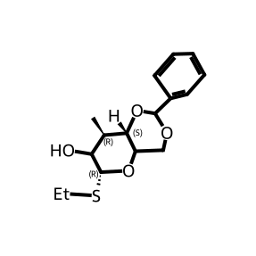 CCS[C@H]1OC2COC(c3ccccc3)O[C@H]2[C@H](C)C1O